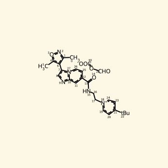 Cc1noc(C)c1-c1cnc2cc(C(=O)NCC[n+]3ccc(C(C)(C)C)cc3)ccn12.O=COC(=O)[O-]